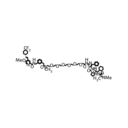 CN[C@@H](C)C(=O)NC(C(=O)N1CCC[C@H]1C(=O)Nc1sc(NC(=O)COCCOCCOCCOCCOCCOCCN(C)C(=O)Cc2cccc(CNC(=O)c3cc(/C=C/[C@H]4CC[C@H](C(F)(F)F)CC4)c(OC)cn3)c2)nc1-c1ccccc1)C1CCCCC1